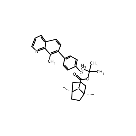 Cc1c(-c2ccc(O[C@@H]3C[C@H]4CC[C@@H](C3)N4C(=O)OC(C)(C)C)cc2)ccc2cccnc12